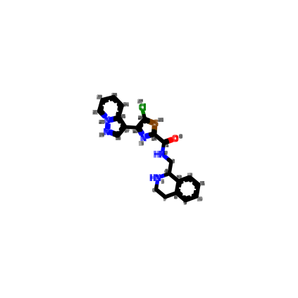 O=C(NCC1NCCc2ccccc21)c1nc(-c2cnn3ccccc23)c(Cl)s1